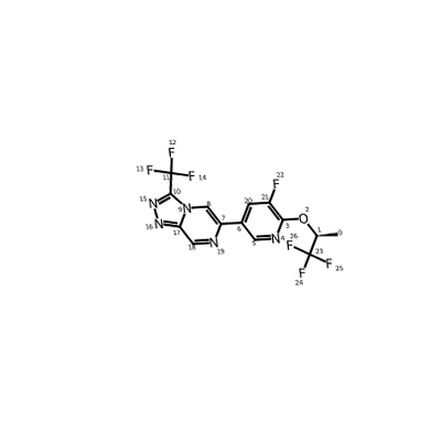 C[C@H](Oc1ncc(-c2cn3c(C(F)(F)F)nnc3cn2)cc1F)C(F)(F)F